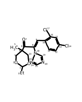 CCC1OCC(C)(C(=O)C(=Cc2ccc(Cl)cc2Cl)n2cncn2)CO1